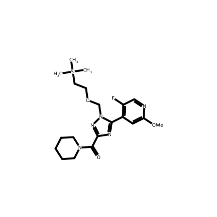 COc1cc(-c2nc(C(=O)N3CCCCC3)nn2COCC[Si](C)(C)C)c(F)cn1